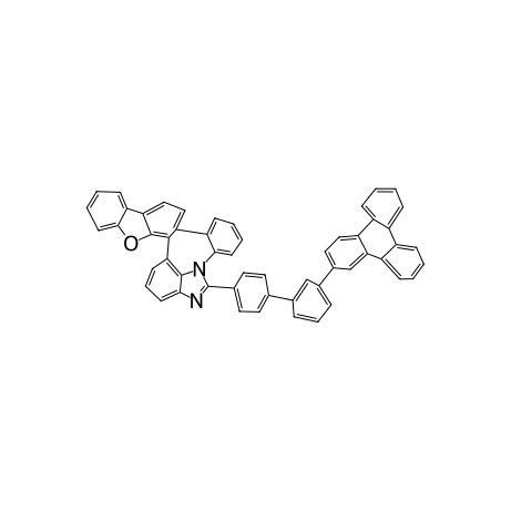 c1cc(-c2ccc(-c3nc4cccc5c4n3-c3ccccc3-c3ccc4c(oc6ccccc64)c3-5)cc2)cc(-c2ccc3c4ccccc4c4ccccc4c3c2)c1